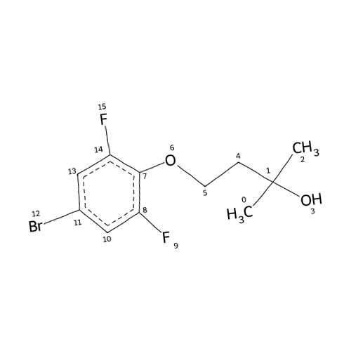 CC(C)(O)CCOc1c(F)cc(Br)cc1F